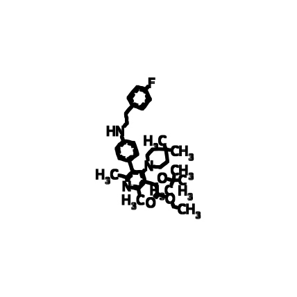 CCOC(=O)[C@@H](OC(C)(C)C)c1c(C)nc(C)c(-c2ccc(NCCc3ccc(F)cc3)cc2)c1N1CCC(C)(C)CC1